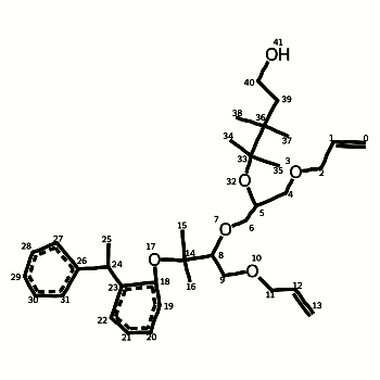 C=CCOCC(COC(COCC=C)C(C)(C)Oc1ccccc1C(C)c1ccccc1)OC(C)(C)C(C)(C)CCO